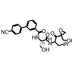 CC(C)CC(NC(=O)[C@H](CO)NC(=O)c1cccc(-c2ccc(C#N)cc2)c1)C(=O)C1(CO)CO1